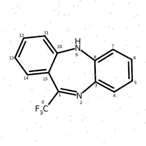 FC(F)(F)C1=Nc2ccccc2Nc2ccccc21